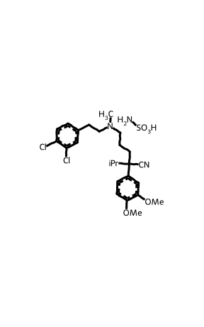 COc1ccc(C(C#N)(CCCN(C)CCc2ccc(Cl)c(Cl)c2)C(C)C)cc1OC.NS(=O)(=O)O